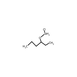 CCCC(CC)O[SiH2]Cl